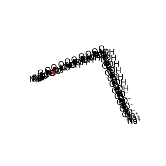 O=[N+]([O-])O.O=[N+]([O-])O.O=[N+]([O-])O.O=[N+]([O-])O.O=[N+]([O-])O.O=[N+]([O-])O.O=[N+]([O-])O.O=[N+]([O-])O.O=[N+]([O-])O.O=[N+]([O-])O.O=[N+]([O-])O.O=[N+]([O-])O.O=[N+]([O-])[O-].O=[N+]([O-])[O-].O=[N+]([O-])[O-].O=[N+]([O-])[O-].O=[N+]([O-])[O-].O=[N+]([O-])[O-].O=[N+]([O-])[O-].O=[N+]([O-])[O-].[Na+].[Na+].[Na+].[Na+].[Na+].[Na+].[Na+].[Na+]